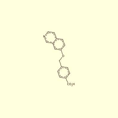 O=C(O)c1ccc(COc2ccc3ccncc3c2)cc1